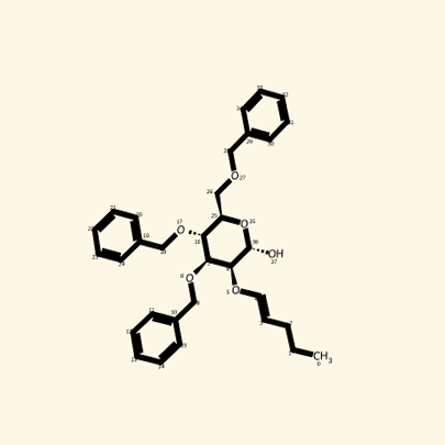 CCC/C=C/O[C@H]1[C@@H](OCc2ccccc2)[C@H](OCc2ccccc2)[C@@H](COCc2ccccc2)O[C@@H]1O